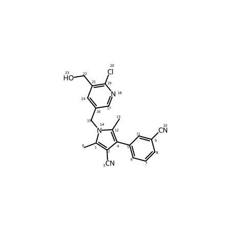 Cc1c(C#N)c(-c2cccc(C#N)c2)c(C)n1Cc1cnc(Cl)c(CO)c1